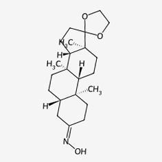 C[C@]12CC/C(=N\O)C[C@@H]1CC[C@]1(C)[C@@H]2CC[C@@]2(C)[C@H]1CCC21OCCO1